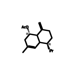 C=C1CC[C@@H](C(C)C)C2C=C(C)C[C@H](OC(C)=O)C12